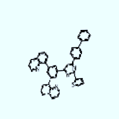 c1ccc(-c2ccc(-c3cc(-c4cc(-c5cccc6cccnc56)cc(-c5cccc6cccnc56)c4)nc(-c4cccs4)n3)cc2)cc1